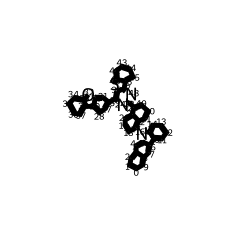 c1ccc2cc3c(cc2c1)c1ccccc1n3-c1cccc2c(-c3nc(-c4ccc5c(c4)oc4ccccc45)c4sc5ccccc5c4n3)cccc12